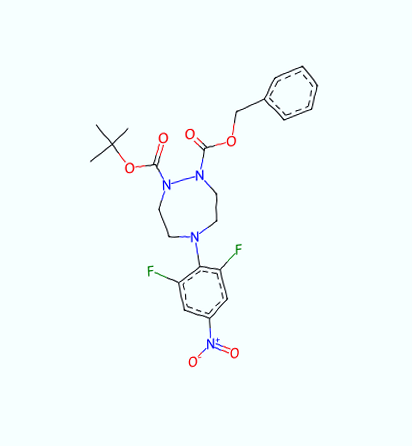 CC(C)(C)OC(=O)N1CCN(c2c(F)cc([N+](=O)[O-])cc2F)CCN1C(=O)OCc1ccccc1